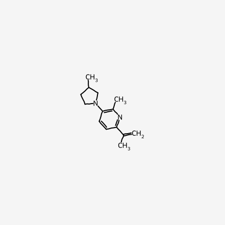 C=C(C)c1ccc(N2CCC(C)C2)c(C)n1